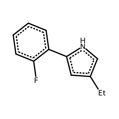 CCc1c[nH]c(-c2ccccc2F)c1